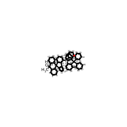 CC1(C)c2ccccc2C2(c3ccccc3-c3c(N(c4ccccc4)c4cccc5c4C(c4ccccc4)(c4ccccc4)c4ccccc4-5)cccc32)c2ccccc21